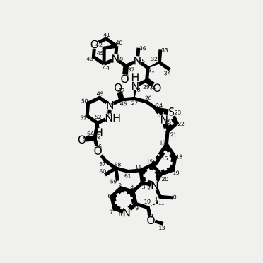 CCn1c(-c2cccnc2[C@H](C)OC)c2c3cc(ccc31)-c1csc(n1)C[C@H](NC(=O)[C@H](C(C)C)N(C)C(=O)N1C3COCC1C3)C(=O)N1CCC[C@H](N1)C(=O)OCC(C)(C)C2